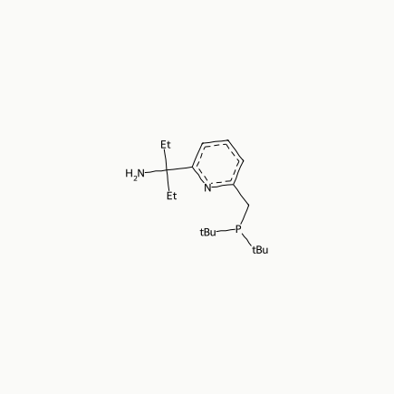 CCC(N)(CC)c1cccc(CP(C(C)(C)C)C(C)(C)C)n1